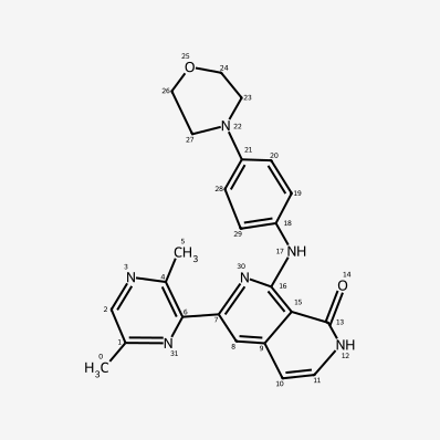 Cc1cnc(C)c(-c2cc3cc[nH]c(=O)c3c(Nc3ccc(N4CCOCC4)cc3)n2)n1